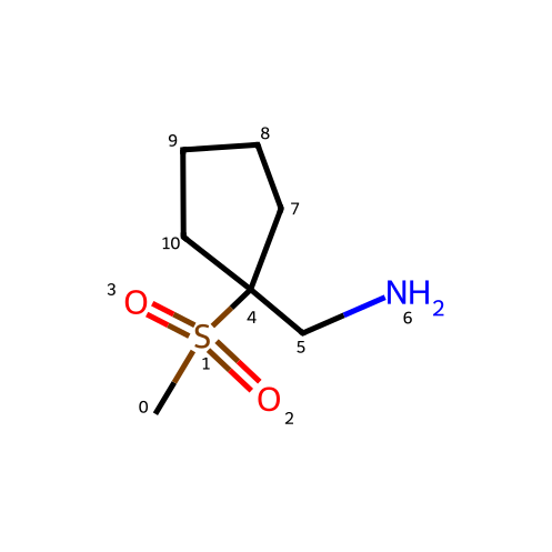 CS(=O)(=O)C1(CN)CCCC1